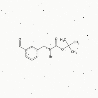 CC(C)(C)OC(=O)N(Br)Cc1cccc(C=O)c1